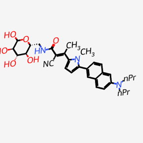 CCCN(CCC)c1ccc2cc(-c3ccc(/C(C)=C(\C#N)C(=O)NC[C@H]4OC(O)[C@H](O)[C@@H](O)[C@@H]4O)n3C)ccc2c1